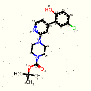 CC(C)(C)OC(=O)N1CCN(c2cc(-c3cc(Cl)ccc3O)ccn2)CC1